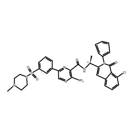 C[C@H](NC(=O)c1nc(-c2cccc(S(=O)(=O)N3CCN(C)CC3)c2)cnc1N)c1cc2cccc(Cl)c2c(=O)n1-c1ccccc1